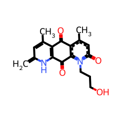 C=C1C=C(C)C2=C(N1)C(=O)c1c(c(C)cc(=O)n1CCCO)C2=O